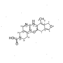 CC1=C2COC=C2CC(=O)C1Nc1ncc2c(n1)CCN(C(=O)O)C2